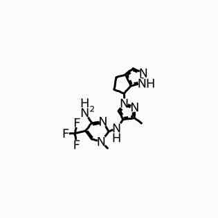 Cc1nn(C2CCc3cn[nH]c32)cc1NC1N=C(N)C(C(F)(F)F)=CN1C